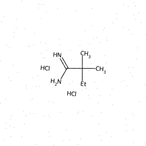 CCC(C)(C)C(=N)N.Cl.Cl